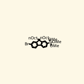 CCCCCCCCC1(CCCCCCCC)c2cc(Br)ccc2-c2ccc([Si](OC)(OC)OC)cc21